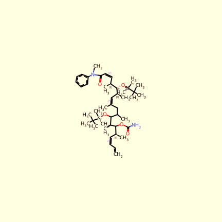 C=C/C=C\[C@H](C)C(OC(N)=O)C(C)C(O[Si](C)(C)C(C)(C)C)C(C)C/C(C)=C\[C@H](C)[C@@H](O[Si](C)(C)C(C)(C)C)[C@@H](C)/C=C\C(=O)N(C)c1ccccc1